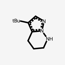 CC(C)(C)c1cnn2c1CCCN2